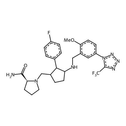 COc1ccc(-n2nnnc2C(F)(F)F)cc1CNC1CCC(CN2CCC[C@H]2C(N)=O)C1c1ccc(F)cc1